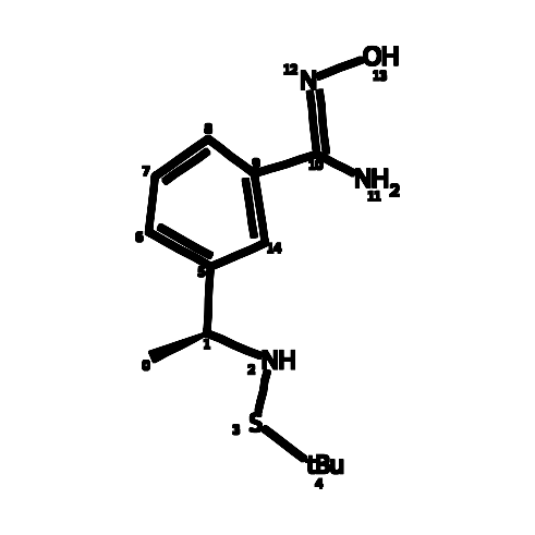 C[C@H](NSC(C)(C)C)c1cccc(/C(N)=N/O)c1